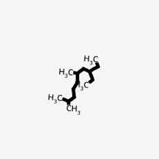 CCC(CC)CC(C)CCCC(C)C